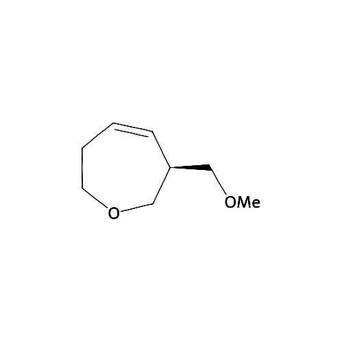 COC[C@@H]1C=CCCOC1